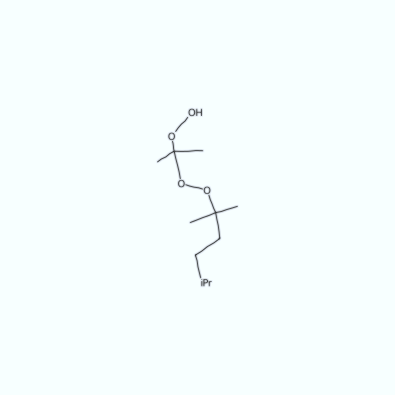 CC(C)CCC(C)(C)OOC(C)(C)OO